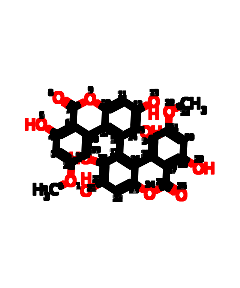 COc1cc(O)c2c(=O)oc3cc(O)c(O)c(-c4c(O)c(O)cc5oc(=O)c6c(O)cc(OC)cc6c45)c3c2c1